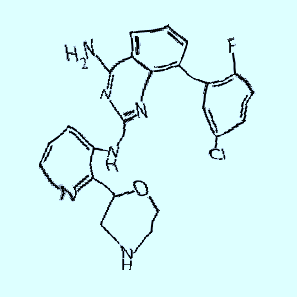 Nc1nc(Nc2cccnc2C2CNCCO2)nc2c(-c3cc(Cl)ccc3F)cccc12